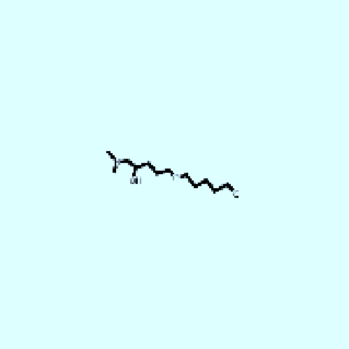 CN(C)CC(O)CCCOCCCCC[O]